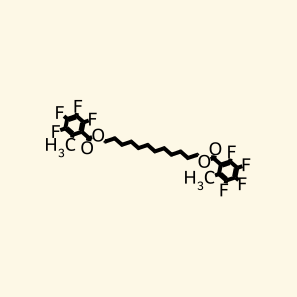 Cc1c(F)c(F)c(F)c(F)c1C(=O)OCCCCCCCCCCCCOC(=O)c1c(C)c(F)c(F)c(F)c1F